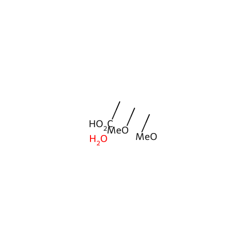 CC(=O)O.COC.COC.O